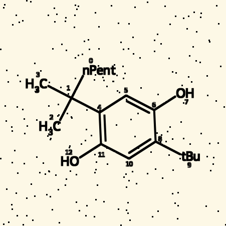 CCCCCC(C)(C)c1cc(O)c(C(C)(C)C)cc1O